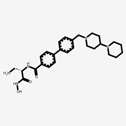 NC[C@H](NC(=O)c1ccc(-c2ccc(CN3CCC(N4CCCCC4)CC3)cc2)cc1)C(=O)NO